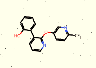 Oc1ccccc1-c1cccnc1Oc1ccc(C(F)(F)F)nc1